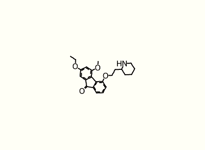 CCOc1cc(OC)c2c(c1)C(=O)c1cccc(OCCC3CCCCN3)c1-2